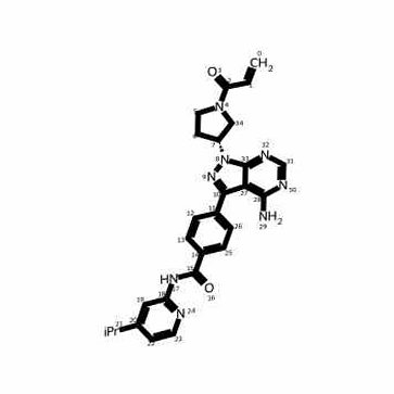 C=CC(=O)N1CC[C@@H](n2nc(-c3ccc(C(=O)Nc4cc(C(C)C)ccn4)cc3)c3c(N)ncnc32)C1